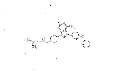 CN(C)CCNCC1CCC(c2nc(-c3ccc(Oc4ccccc4)cc3)c3c(N)ncnn23)CC1